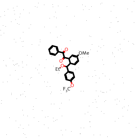 CCOC(c1ccc(OC(F)(F)F)cc1)C1C=CC(OC)=CC1C(=O)C(=O)c1ccccc1